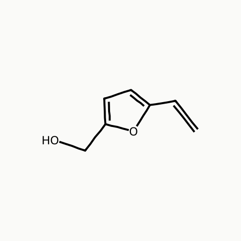 C=Cc1ccc(CO)o1